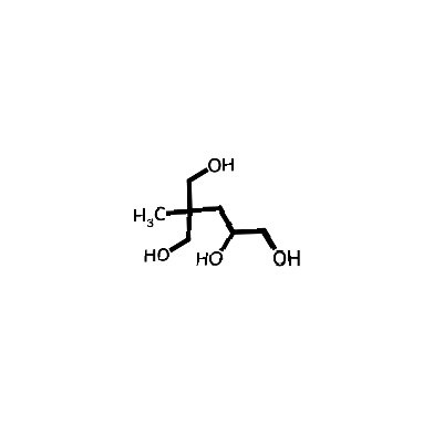 CC(CO)(CO)CC(O)CO